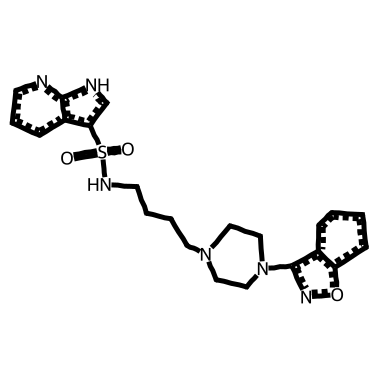 O=S(=O)(NCCCCN1CCN(c2noc3ccccc23)CC1)c1c[nH]c2ncccc12